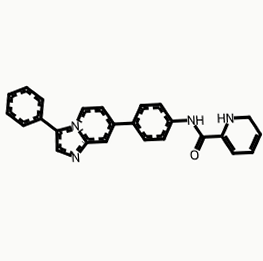 O=C(Nc1ccc(-c2ccn3c(-c4ccccc4)cnc3c2)cc1)C1=CC=CCN1